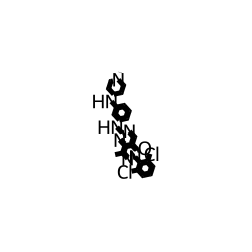 Cc1nn(-c2c(Cl)cccc2Cl)c(=O)c2cnc(Nc3cccc(NC4CCN(C)CC4)c3)nc12